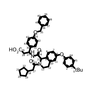 CC(C)(C)c1ccc(Oc2ccc3c(c2)CCN(C(=O)CC2CCCC2)C3C(=O)NC(CC(=O)O)c2ccc(OCc3ccccc3)cc2)cc1